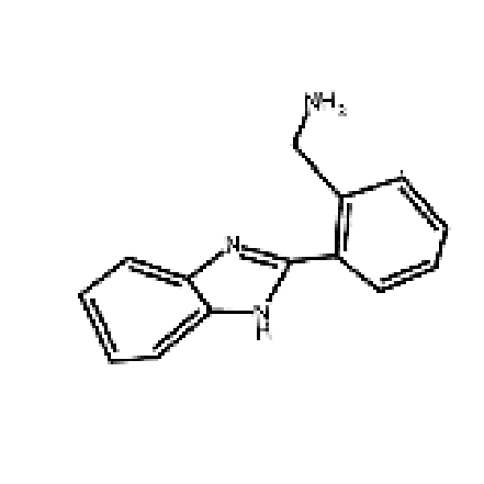 NCc1[c]cccc1-c1nc2ccccc2[nH]1